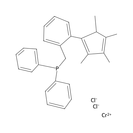 CC1=C(C)C(C)C(c2ccccc2CP(c2ccccc2)c2ccccc2)=C1C.[Cl-].[Cl-].[Cr+2]